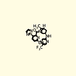 Cc1ccc(-n2nccn2)c(C(=O)N2C3C[C@H](C[C@H]3Nc3cnc(C(F)(F)F)cn3)[C@@H]2C)n1